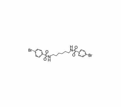 O=S(=O)(NCCCCCCNS(=O)(=O)c1ccc(Br)cc1)c1ccc(Br)cc1